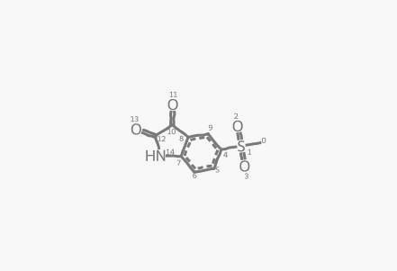 CS(=O)(=O)c1ccc2c(c1)C(=O)C(=O)N2